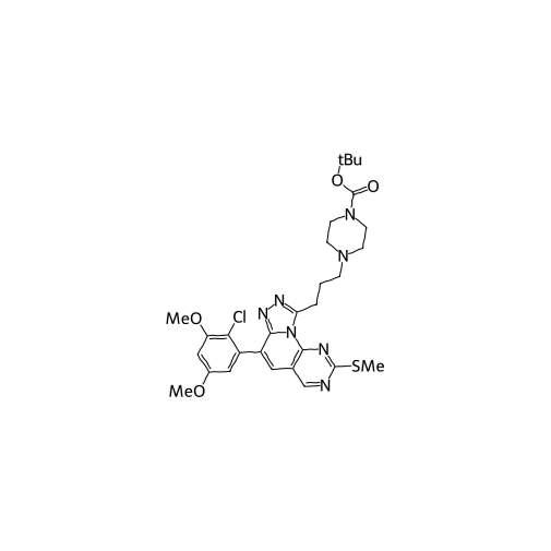 COc1cc(OC)c(Cl)c(-c2cc3cnc(SC)nc3n3c(CCCN4CCN(C(=O)OC(C)(C)C)CC4)nnc23)c1